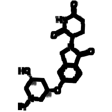 CC(C)N1C[C@H](O)C[C@@H](Oc2ccc3c(c2)CN(C2CCC(=O)NC2=O)C3=O)C1